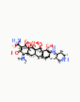 CN(C)C1C(O)=C(C(N)=O)C(=O)C2(O)C(O)=C3C(=O)c4c(ccc(NC5CCNCC5)c4O)CC3CC12